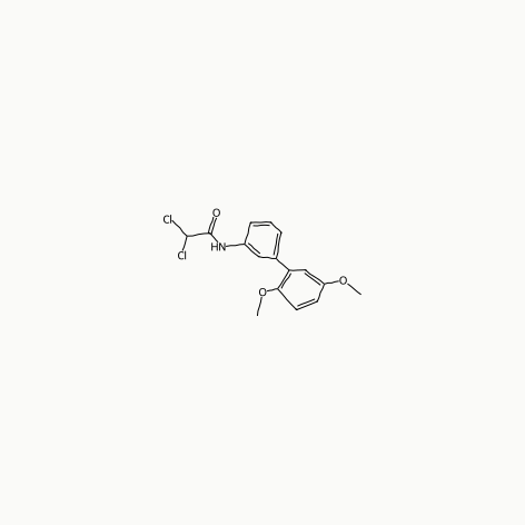 COc1ccc(OC)c(-c2cccc(NC(=O)C(Cl)Cl)c2)c1